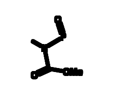 COC(=O)N(C)P=O